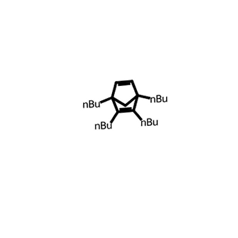 CCCCC1=C(CCCC)C2(CCCC)C=CC1(CCCC)C2